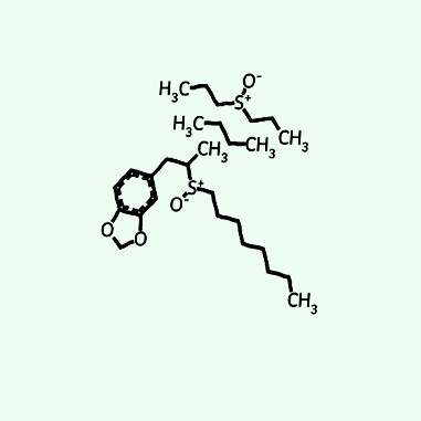 CCCC.CCCCCCCC[S+]([O-])C(C)Cc1ccc2c(c1)OCO2.CCC[S+]([O-])CCC